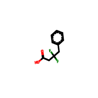 O=C(O)CC(F)(F)Cc1ccccc1